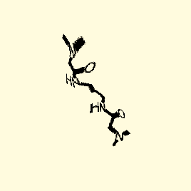 CN(C)CC(=O)NCCCNC(=O)CN(C)C